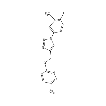 Fc1ccc(-n2cc(COc3ccc(C(F)(F)F)cn3)nn2)cc1C(F)(F)F